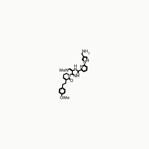 CN/C=C(/NC(=O)c1cccc(-n2cc(CN)cn2)n1)C(=N)N1CCC=C(CCc2ccc(OC)cc2)C1=O